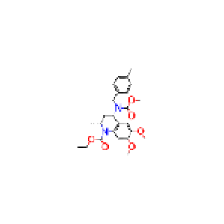 CCOC(=O)N1c2cc(OC)c(OC)cc2[C@@H](N(Cc2ccc(C)cc2)C(=O)OC)C[C@H]1C